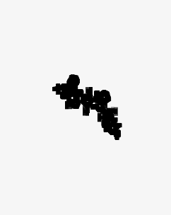 COc1cc(C)c(S(=O)(=O)NC(=N)NCCC[C@H](NC(=O)[C@@H]2CC[C@@H]3CC[C@](Cc4ccccc4)(NC(=O)OC(C)(C)C)C(=O)N32)C(O)c2nc3ccccc3s2)c(C)c1C